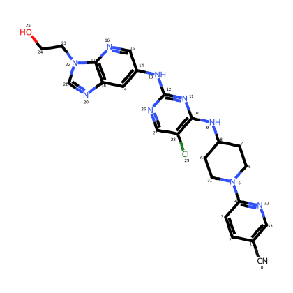 N#Cc1ccc(N2CCC(Nc3nc(Nc4cnc5c(c4)ncn5CCO)ncc3Cl)CC2)nc1